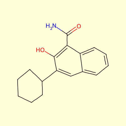 NC(=O)c1c(O)c(C2CCCCC2)cc2ccccc12